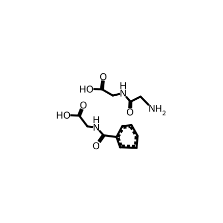 NCC(=O)NCC(=O)O.O=C(O)CNC(=O)c1ccccc1